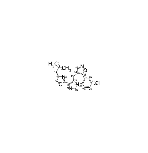 CC(C)C[C@@H]1COC(c2ncn3c2Cc2cnoc2-c2cc(Cl)ccc2-3)=N1